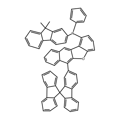 CC1(C)c2ccccc2-c2ccc(N(c3ccccc3)c3cccc4oc5c(-c6ccc7c(c6)C6(c8ccccc8-c8ccccc86)c6ccccc6-7)c6ccccc6cc5c34)cc21